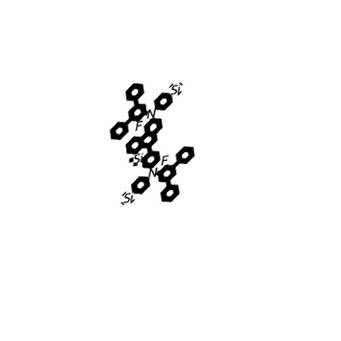 C[Si](C)(C)c1ccc(N(c2ccc3c(c2)[Si](C)(C)c2cccc4c2c-3cc2ccc(N(c3ccc([Si](C)(C)C)cc3)c3cc(-c5ccccc5)cc(-c5ccccc5)c3F)cc24)c2cc(-c3ccccc3)cc(-c3ccccc3)c2F)cc1